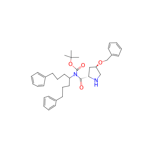 CC(C)(C)OC(=O)N(C(=O)[C@@H]1C[C@@H](OCc2ccccc2)CN1)C(CCCc1ccccc1)CCCc1ccccc1